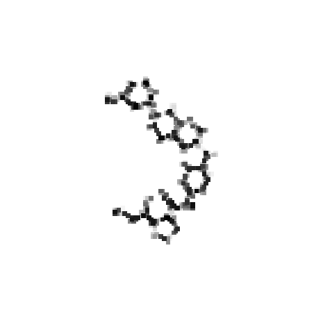 CC(C)(C)OC(=O)N1CCC[C@H]1C(=O)Nc1ccc(Oc2ccc3c(c2)CCC(c2cccc(O)c2)O3)nc1